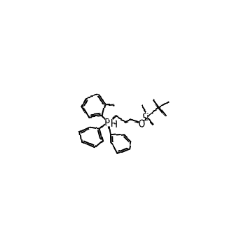 Cc1ccccc1[PH](CCCO[Si](C)(C)C(C)(C)C)(c1ccccc1)c1ccccc1